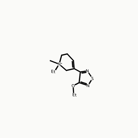 CCOc1nsnc1C1=CCC[N+](C)(CC)C1